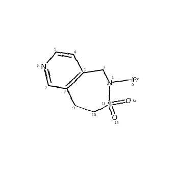 CC(C)N1Cc2ccncc2CCS1(=O)=O